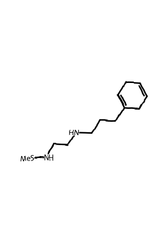 CSNCCNCCCC1=CCC=CC1